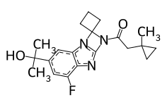 CC1(CC(=O)N2c3nc4c(F)cc(C(C)(C)O)cc4n3C23CCC3)CC1